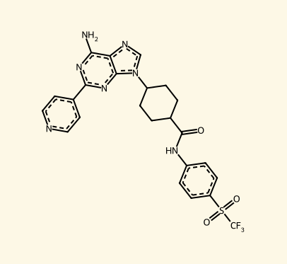 Nc1nc(-c2ccncc2)nc2c1ncn2C1CCC(C(=O)Nc2ccc(S(=O)(=O)C(F)(F)F)cc2)CC1